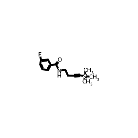 C[Si](C)(C)C#CCCNC(=O)c1cccc(F)c1